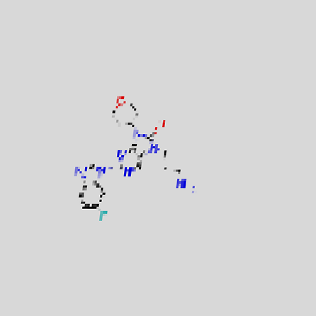 NCCCn1c(=O)n(C2CCOCC2)c2nc(-n3cnc4ccc(F)cc43)ncc21